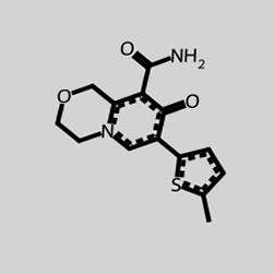 Cc1ccc(-c2cn3c(c(C(N)=O)c2=O)COCC3)s1